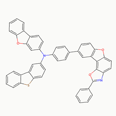 c1ccc(-c2nc3ccc4oc5ccc(-c6ccc(N(c7ccc8c(c7)oc7ccccc78)c7ccc8sc9ccccc9c8c7)cc6)cc5c4c3o2)cc1